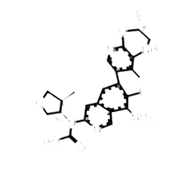 Cc1c(-c2cc3cc(N(C(=O)O)[C@H]4COC[C@H]4C)ncc3c(N)c2F)cnc2c1NC[C@@H](F)O2